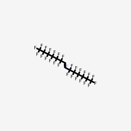 FC(F)(F)C(F)(F)C(F)(F)C(F)(F)C(F)(F)C(F)(F)/C=C/C(F)(F)C(F)(F)C(F)(F)C(F)(F)C(F)(F)C(F)(F)F